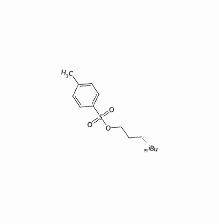 CC[C@@H](C)CCCOS(=O)(=O)c1ccc(C)cc1